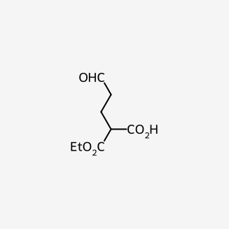 CCOC(=O)C(CCC=O)C(=O)O